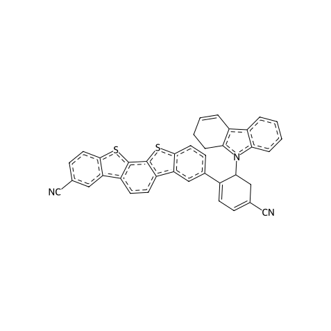 N#CC1=CC=C(c2ccc3sc4c(ccc5c6cc(C#N)ccc6sc54)c3c2)C(n2c3c(c4ccccc42)C=CCC3)C1